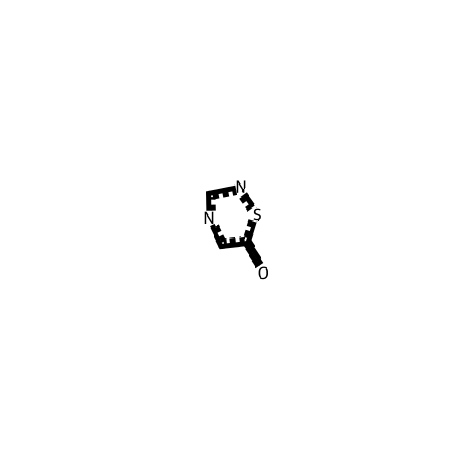 O=c1cncns1